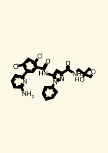 Nc1cccc(-c2cc(C(=O)Nc3cc(C(=O)NCC4(O)COC4)nn3-c3ccccc3)c(Cl)cc2Cl)n1